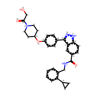 O=C(NCc1ccccc1C1CC1)c1ccc2[nH]nc(-c3ccc(OC4CCN(C(=O)CO)CC4)cc3)c2c1